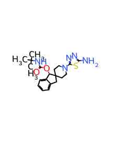 CC(C)(C)NC(=O)O[C@@H]1c2ccccc2CC12CCN(c1nnc(N)s1)CC2